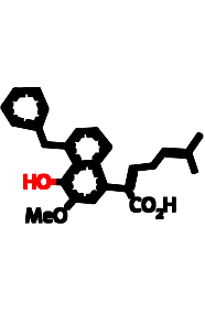 COc1cc(C(=CCC=C(C)C)C(=O)O)c2cccc(Cc3ccccc3)c2c1O